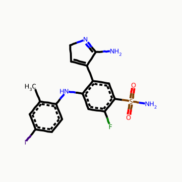 Cc1cc(I)ccc1Nc1cc(F)c(S(N)(=O)=O)cc1C1=CCN=C1N